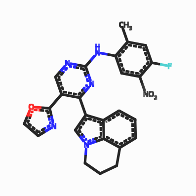 Cc1cc(F)c([N+](=O)[O-])cc1Nc1ncc(-c2ncco2)c(-c2cn3c4c(cccc24)CCC3)n1